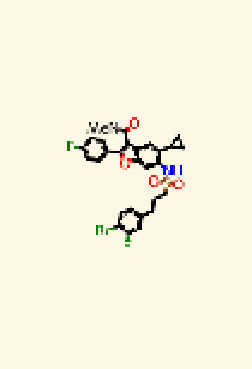 CNC(=O)c1c(-c2ccc(F)cc2)oc2cc(NS(=O)(=O)CCCc3ccc(Br)c(F)c3)c(C3CC3)cc12